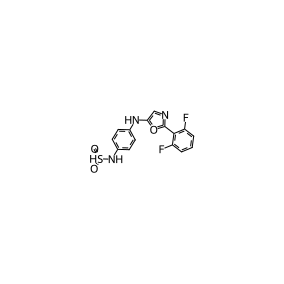 O=[SH](=O)Nc1ccc(Nc2cnc(-c3c(F)cccc3F)o2)cc1